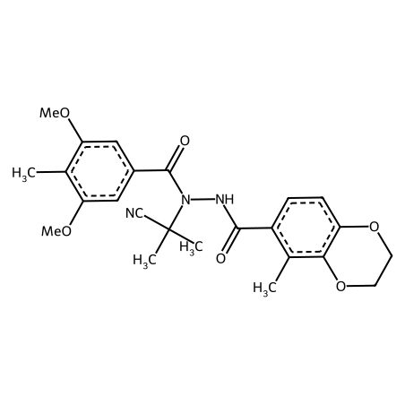 COc1cc(C(=O)N(NC(=O)c2ccc3c(c2C)OCCO3)C(C)(C)C#N)cc(OC)c1C